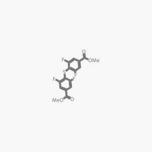 COC(=O)c1cc(F)c(Sc2c(F)cc(C(=O)OC)cc2F)c(F)c1